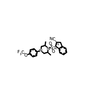 CC1CN(c2ccc(OC(F)(F)F)cc2)CC(C)N1S(=O)(=O)[C@H]1c2ccccc2C[C@H]1C#N